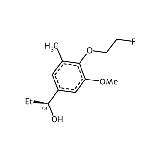 CC[C@H](O)c1cc(C)c(OCCF)c(OC)c1